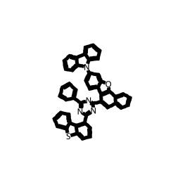 c1ccc(-c2nc(-c3cccc4sc5ccccc5c34)nc(-c3cc4ccccc4c4oc5cc(-n6c7ccccc7c7ccccc76)ccc5c34)n2)cc1